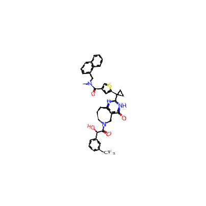 CN(Cc1cccc2ccccc12)C(=O)c1csc(C2(c3nc4c(c(=O)[nH]3)CN(C(=O)C(O)c3cccc(C(F)(F)F)c3)CCC4)CC2)c1